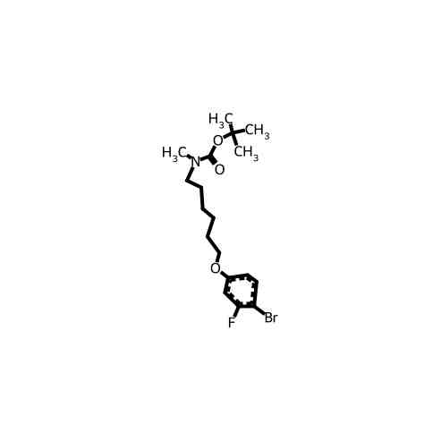 CN(CCCCCCOc1ccc(Br)c(F)c1)C(=O)OC(C)(C)C